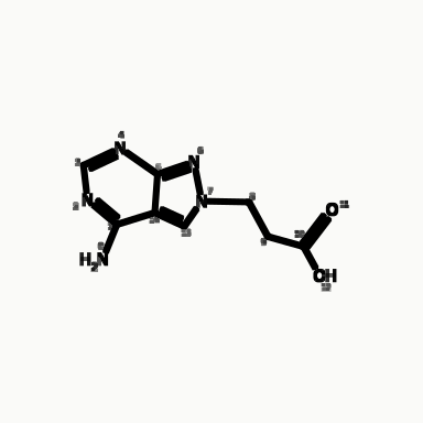 Nc1ncnc2nn(CCC(=O)O)cc12